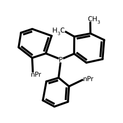 CCCc1ccccc1P(c1ccccc1CCC)c1cccc(C)c1C